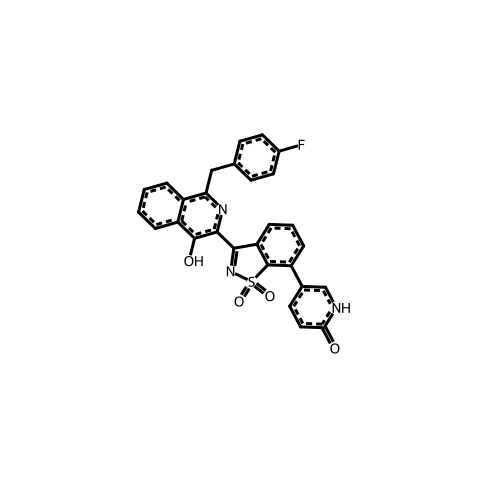 O=c1ccc(-c2cccc3c2S(=O)(=O)N=C3c2nc(Cc3ccc(F)cc3)c3ccccc3c2O)c[nH]1